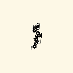 Cc1cc(OCc2cccc(F)c2)c(Cl)cc1N(C)c1cnnc2ccc(-c3ccc(CN(C)CCS(C)(=O)=O)o3)cc12